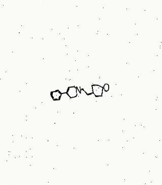 O=C1CCC(CCN2CC=C(c3ccccc3)CC2)CC1